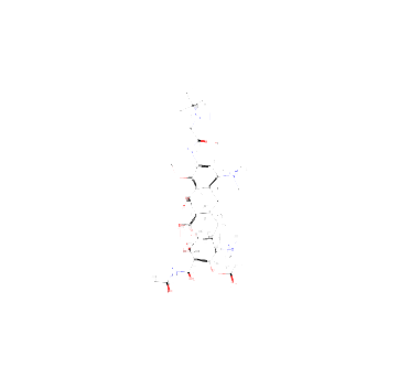 COc1c(NC(=O)CNC(C)(C)C)cc(N(C)C)c2c1C(O)(O)C1=C(O)[C@@]3(O)[C@@H](C[C@@H]1C2)[C@H](N(C)C)C(OC(C)=O)=C(C(=O)NC(C)=O)C3(O)O